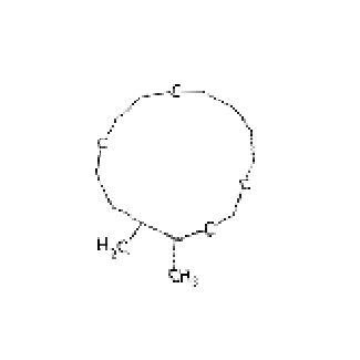 CC1CCCCCCCCCCCCCC1C